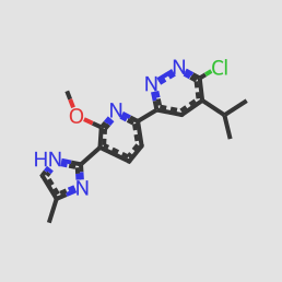 COc1nc(-c2cc(C(C)C)c(Cl)nn2)ccc1-c1nc(C)c[nH]1